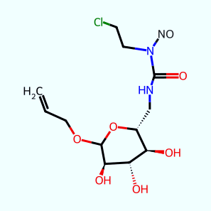 C=CCOC1O[C@H](CNC(=O)N(CCCl)N=O)[C@@H](O)[C@H](O)[C@H]1O